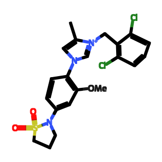 COc1cc(N2CCCS2(=O)=O)ccc1-n1cc(C)[n+](Cc2c(Cl)cccc2Cl)c1